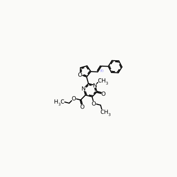 CCOC(=O)c1nc(-c2occc2/C=C/c2ccccc2)n(C)c(=O)c1OCC